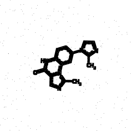 Cc1nccn1-c1ccc2[nH]c(=O)c3cnc(C)n3c2c1